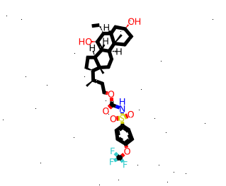 CC[C@H]1[C@@H](O)[C@@H]2[C@H](CC[C@]3(C)[C@@H]([C@H](C)CCOC(=O)NS(=O)(=O)c4ccc(OC(F)(F)F)cc4)CC[C@@H]23)[C@@]2(C)CC[C@@H](O)C[C@@H]12